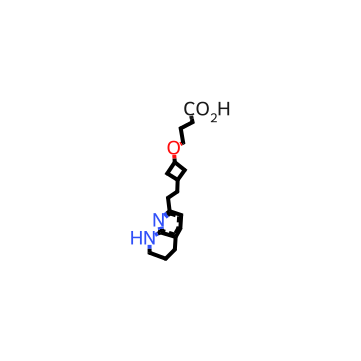 O=C(O)CCCOC1CC(CCc2ccc3c(n2)NCCC3)C1